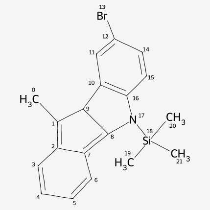 CC1=c2ccccc2=C2C1c1cc(Br)ccc1N2[Si](C)(C)C